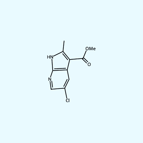 COC(=O)c1c(C)[nH]c2ncc(Cl)cc12